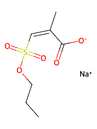 CCCOS(=O)(=O)C=C(C)C(=O)[O-].[Na+]